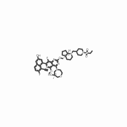 C#Cc1c(F)ccc2cc(O)cc(-c3nc(OC)c4c(N5CCOC[C@@](C)(O)C5)nc(OC[C@]56CCC[C@H]5N(CC5CCN(S(=O)(=O)CC)CC5)CCC6)nc4c3F)c12